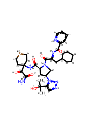 CC(C)(O)c1cnnn1[C@H]1C[C@@H](C(=O)NC2(C(=O)C(N)=O)CCSCC2)N(C(=O)/C(CC2CCCCC2)=N/C(=O)c2ccccn2)C1